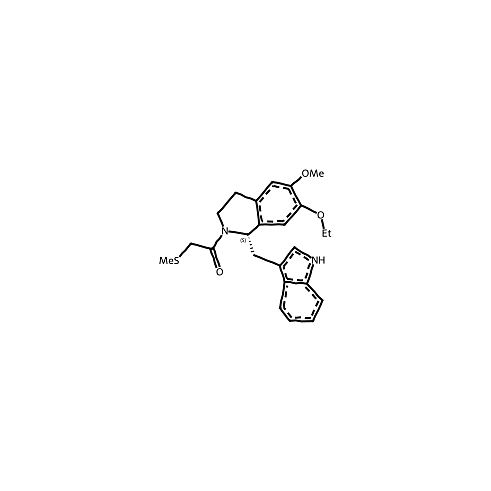 CCOc1cc2c(cc1OC)CCN(C(=O)CSC)[C@H]2Cc1c[nH]c2ccccc12